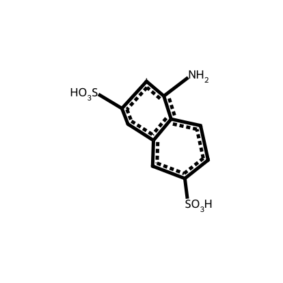 Nc1[c]c(S(=O)(=O)O)cc2cc(S(=O)(=O)O)ccc12